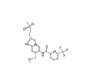 COCc1cc2nc(CCS(C)(=O)=O)cn2cc1NC(=O)c1cccc(C(F)(F)F)n1